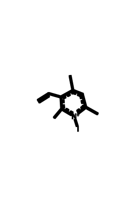 C=Cc1c(C)cc(C)[n+](I)c1C